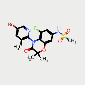 Cc1cc(Br)cnc1N1C(=O)C(C)(C)Oc2cc(NS(C)(=O)=O)cc(F)c21